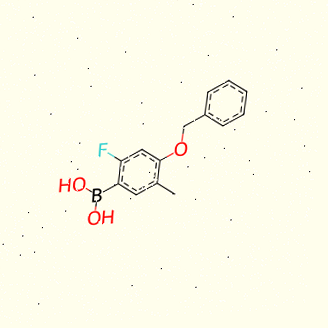 Cc1cc(B(O)O)c(F)cc1OCc1ccccc1